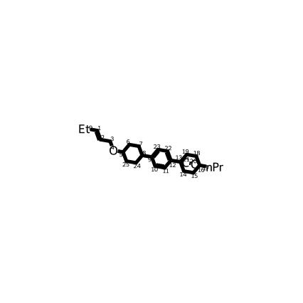 CC/C=C/COC1CCC(c2ccc(C34CCC(CCC)(CC3)CC4)cc2)CC1